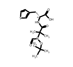 CC(C)(C)ON(C=O)C(C)(C)C(=O)N[C@H](Cc1ccsc1)C(=O)O